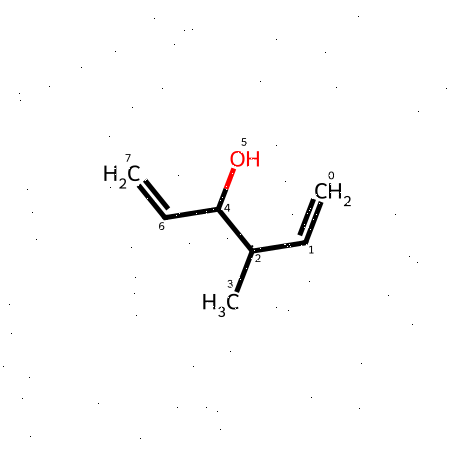 C=C[C](C)C(O)C=C